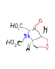 O=C(O)C1C(=O)[C@H]2COC[C@H]2N1C(=O)O